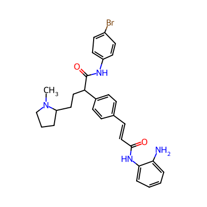 CN1CCCC1CCC(C(=O)Nc1ccc(Br)cc1)c1ccc(C=CC(=O)Nc2ccccc2N)cc1